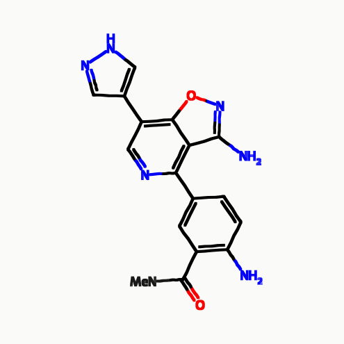 CNC(=O)c1cc(-c2ncc(-c3cn[nH]c3)c3onc(N)c23)ccc1N